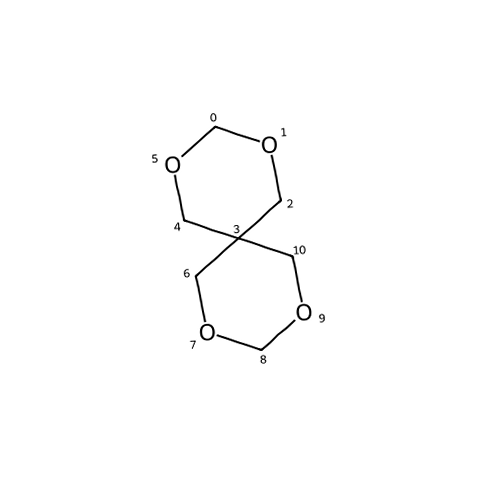 C1OCC2(CO1)COCOC2